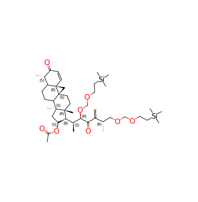 C=C(C(=O)[C@H](OCOCC[Si](C)(C)C)[C@@H](C)[C@H]1[C@@H](OC(C)=O)C[C@@]2(C)C3CCC4[C@H](C)C(=O)C=C[C@@]45C[C@@]35CC[C@]12C)[C@@H](C)COCOCC[Si](C)(C)C